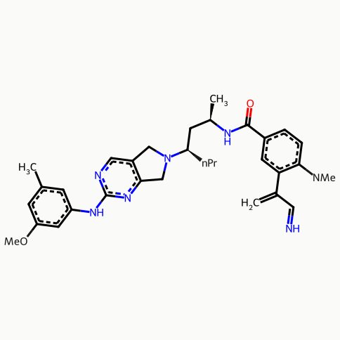 C=C(C=N)c1cc(C(=O)N[C@H](C)C[C@@H](CCC)N2Cc3cnc(Nc4cc(C)cc(OC)c4)nc3C2)ccc1NC